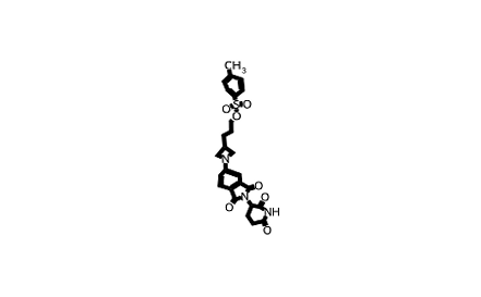 Cc1ccc(S(=O)(=O)OCCCC2CN(c3ccc4c(c3)C(=O)N(C3CCC(=O)NC3=O)C4=O)C2)cc1